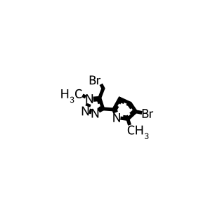 Cc1nc(-c2nnn(C)c2CBr)ccc1Br